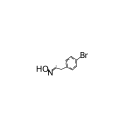 ON=[C]Cc1ccc(Br)cc1